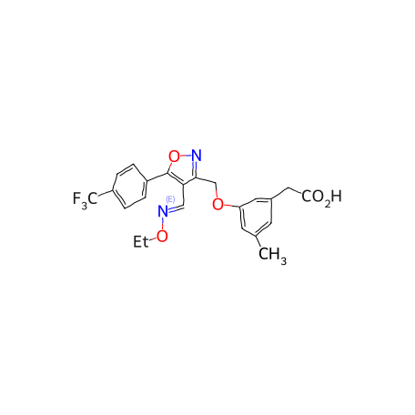 CCO/N=C/c1c(COc2cc(C)cc(CC(=O)O)c2)noc1-c1ccc(C(F)(F)F)cc1